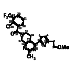 COCCn1ccc(-c2nc(C)nc3c2CCN(C(=O)c2cccc(C(F)(F)F)c2Cl)C3)n1